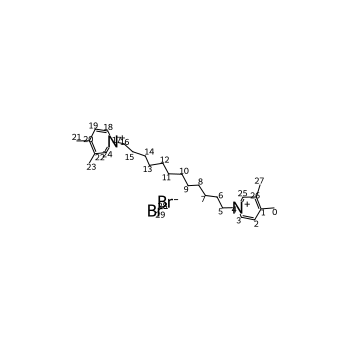 Cc1cc[n+](CCCCCCCCCCCC[n+]2ccc(C)c(C)c2)cc1C.[Br-].[Br-]